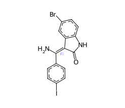 N/C(=C1/C(=O)Nc2ccc(Br)cc21)c1ccc(I)cc1